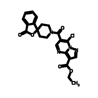 CCOC(=O)c1cnn2c(Cl)c(C(=O)N3CCC4(CC3)OC(=O)c3ccccc34)cnc12